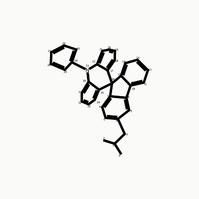 CC(C)Cc1ccc2c(c1)-c1ccccc1C21c2ccccc2N(c2ccccc2)c2ccccc21